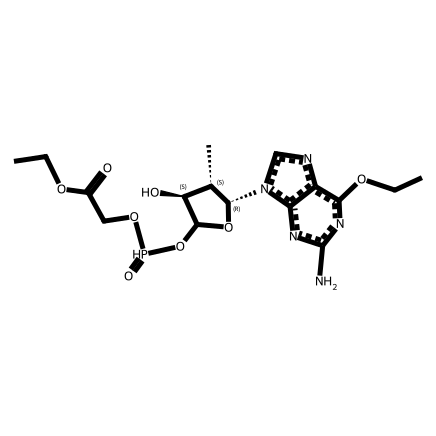 CCOC(=O)CO[PH](=O)OC1O[C@@H](n2cnc3c(OCC)nc(N)nc32)[C@@H](C)[C@@H]1O